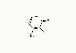 C=N/C(C)=C(CC)\N=C/C